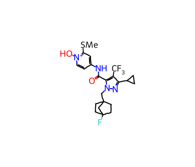 CSc1cc(NC(=O)c2c(C(F)(F)F)c(C3CC3)nn2CC23CCC(F)(CC2)C3)cc[n+]1O